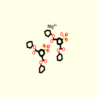 O=C(OC1CCCCC1)c1cc(C(=O)OC2CCCCC2)cc(S(=O)(=O)[O-])c1.O=C(OC1CCCCC1)c1cc(C(=O)OC2CCCCC2)cc(S(=O)(=O)[O-])c1.[Mg+2]